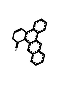 O=C1CC=Cc2c1c1cc3ccccc3cc1c1ccccc21